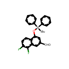 CC(C)(C)[Si](Oc1cc(C=O)cc2c(F)c(F)ccc12)(c1ccccc1)c1ccccc1